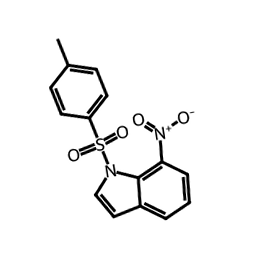 Cc1ccc(S(=O)(=O)n2ccc3cccc([N+](=O)[O-])c32)cc1